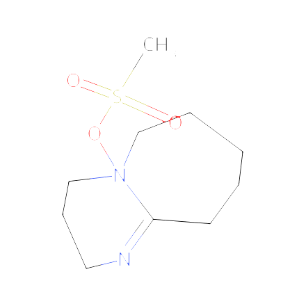 CS(=O)(=O)O[N+]12CCCCCC1=NCCC2